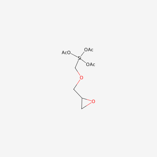 CC(=O)O[Si](COCC1CO1)(OC(C)=O)OC(C)=O